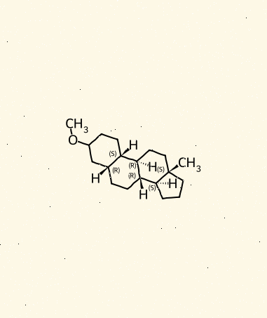 COC1CC[C@H]2[C@H](CC[C@@H]3[C@@H]2CC[C@]2(C)CCC[C@@H]32)C1